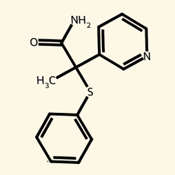 CC(Sc1cc[c]cc1)(C(N)=O)c1cccnc1